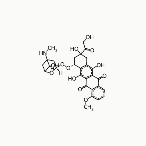 CNC12CC(O[C@@H](OO[C@@H]3CC(O)(C(=O)CO)Cc4c(O)c5c(c(O)c43)C(=O)c3c(OC)cccc3C5=O)C1)[C@H]2O